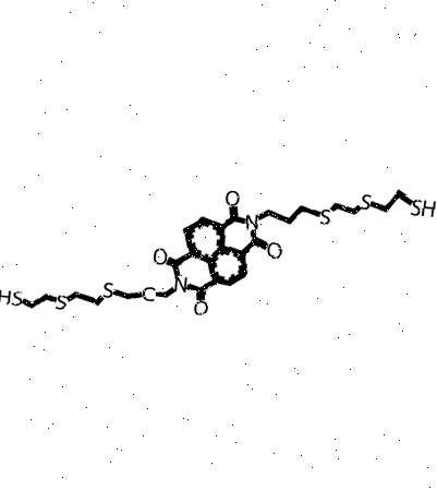 O=C1c2ccc3c4c(ccc(c24)C(=O)N1CCCSCCSCCS)C(=O)N(CCCSCCSCCS)C3=O